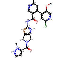 COc1cnc(Cl)cc1-c1cc(C)ncc1C(=O)Nc1nc2c(s1)CN(C(=O)c1ccnn1C)C2